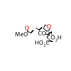 C1CCOC1.C=C(C)C(=O)O.C=C(C)C(=O)O.C=CC(=O)O.C=CC(=O)OC